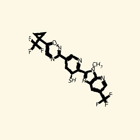 Cn1c(C2=NC=C(C3=NOC(C4(C(F)(F)F)CC4)=C=N3)C[C@@H]2S)nc2cc(C(F)(F)F)cnc21